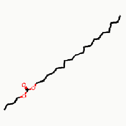 CCCCCCCCCCCCCCCCCCCOC(=O)OCCCC